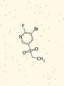 CCS(=O)(=O)c1cnc(F)c(Br)c1